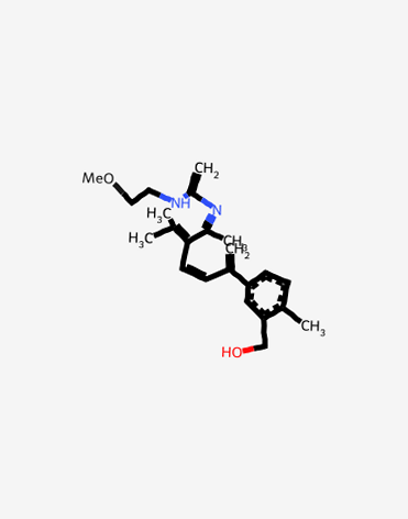 C=C(/N=C(/C)C(/C=C\C(=C)c1ccc(C)c(CO)c1)=C(C)C)NCCOC